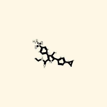 CCOC(=O)c1sc(-c2ccc(C3CC3)cc2)c(C)c1-c1ccc(S(N)(=O)=O)cc1